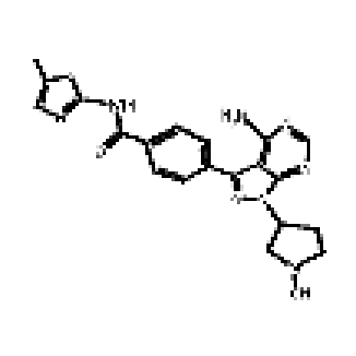 Cc1cnc(NC(=O)c2ccc(-c3nn(C4CCN(C#N)C4)c4ncnc(N)c34)cc2)s1